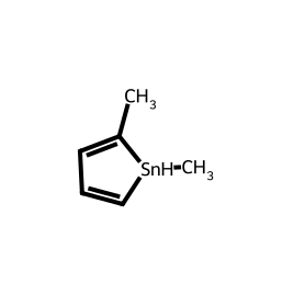 C[C]1=CC=[CH][SnH]1[CH3]